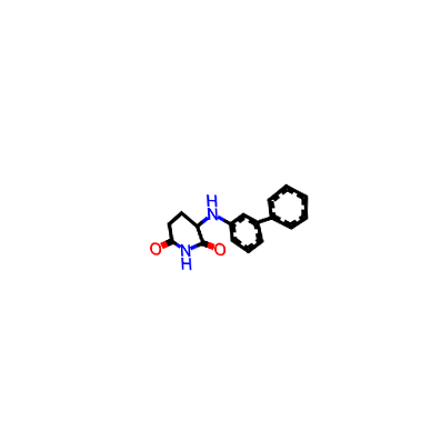 O=C1CCC(Nc2cccc(-c3ccccc3)c2)C(=O)N1